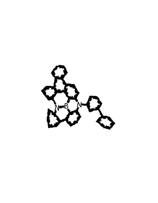 c1ccc(-c2cccc(N3c4cccc5c4B4c6c3ccc3c7ccccc7c7cccc(c7c63)N4c3ccccc3-5)c2)cc1